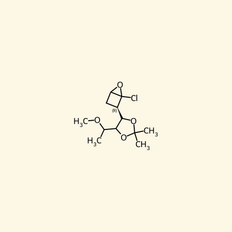 COC(C)C1OC(C)(C)OC1[C@H]1CC2OC21Cl